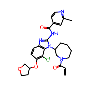 C=CC(=O)N1CCCCC(n2c(NC(=O)c3ccnc(C)c3)nc3ccc(OC4CCOC4)c(Cl)c32)C1